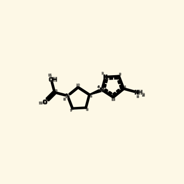 Nc1cnn([C@H]2CCN(C(=O)O)C2)c1